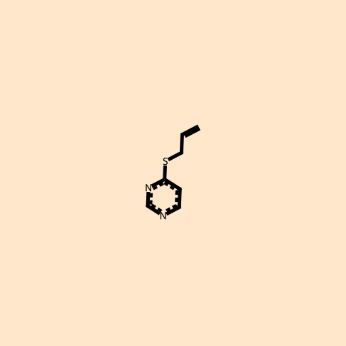 C=CCSc1ccncn1